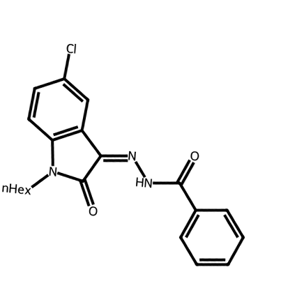 CCCCCCN1C(=O)/C(=N\NC(=O)c2ccccc2)c2cc(Cl)ccc21